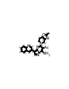 CC(=O)c1c(N2CCc3oc(C)nc3C2)nc2c(-c3cnc4ccccc4c3)cnn2c1N